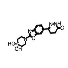 O=C1CCC(c2ccc3nc(N4CCS(O)(O)CC4)oc3c2)=NN1